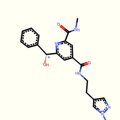 CNC(=O)c1cc(C(=O)NCCc2cnn(C)c2)cc([C@H](O)c2ccccc2)n1